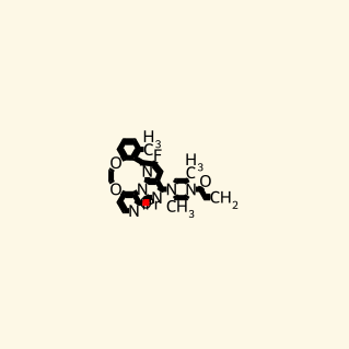 C=CC(=O)N1C[C@H](C)N(c2nc(=O)n3c4nc(c(F)cc24)-c2c(C)cccc2OCCOc2ccnc(C(C)C)c2-3)C[C@H]1C